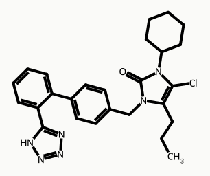 CCCc1c(Cl)n(C2CCCCC2)c(=O)n1Cc1ccc(-c2ccccc2-c2nnn[nH]2)cc1